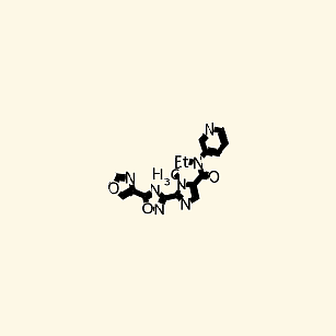 CCN(C(=O)c1cnc(-c2noc(-c3cocn3)n2)n1C)c1cccnc1